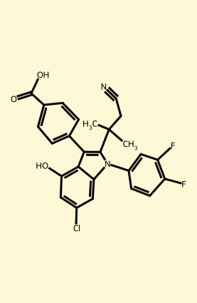 CC(C)(CC#N)c1c(-c2ccc(C(=O)O)cc2)c2c(O)cc(Cl)cc2n1-c1ccc(F)c(F)c1